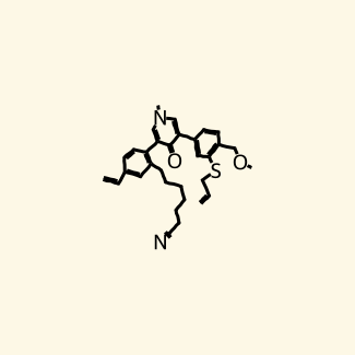 C=CCSc1cc(-c2cn(C)cc(-c3ccc(C=C)cc3CCCCCCC#N)c2=O)ccc1COC